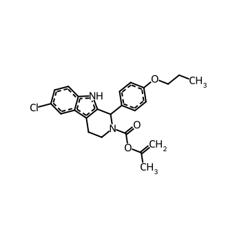 C=C(C)OC(=O)N1CCc2c([nH]c3ccc(Cl)cc23)C1c1ccc(OCCC)cc1